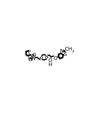 Cc1nc2cc(OC[C@H](O)CN3CCN(CCNS(=O)(=O)c4ccccc4)CC3)ccc2s1